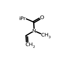 C=CN(C)C(=O)C(C)C